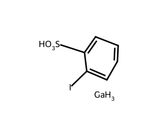 O=S(=O)(O)c1ccccc1I.[GaH3]